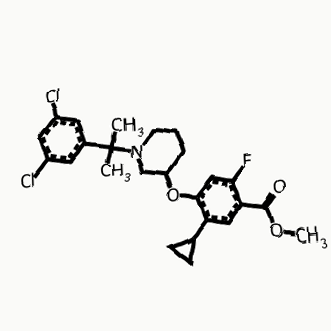 COC(=O)c1cc(C2CC2)c(OC2CCCN(C(C)(C)c3cc(Cl)cc(Cl)c3)C2)cc1F